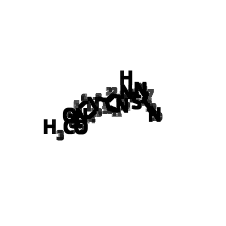 CS(=O)(=O)N1CCN(Cc2ccnc(Nc3ncc(C#N)s3)c2)CC1